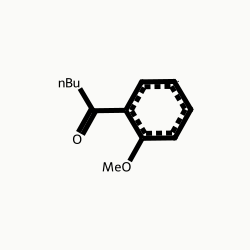 CCCCC(=O)c1c[c]ccc1OC